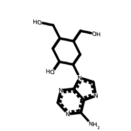 Nc1ncnc2c1ncn2C1CC(CO)C(CO)CC1O